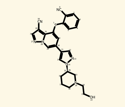 N#Cc1ccccc1Sc1cc(-c2cnn([C@@H]3CCCN(CCO)C3)c2)cn2ncc(C#N)c12